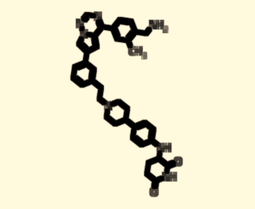 Cc1cc(-c2ncnn3cc(-c4cccc(CCN5CCC(c6ccc(NC7CCC(=O)NC7=O)cc6)CC5)c4)cc23)ccc1CN